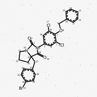 O=C1N(c2cc(Cl)c(OCc3ccccc3)c(Cl)c2)C(=O)C2(Cc3ccc(Br)cc3)CCCN12